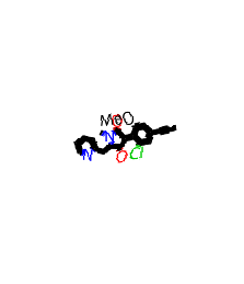 CC#Cc1cc(Cl)c(C2C(=O)C(Cc3ccccn3)N(C)C2=O)c(OC)c1